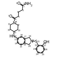 NC(=O)CCCC(=O)N1CCC(Nc2ccc3c(c2)CN(Sc2ccccc2O)C3)CC1